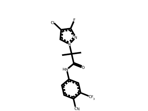 CC(C)(C(=O)Nc1ccc(C#N)c(C(F)(F)F)c1)n1cc(Cl)c(F)n1